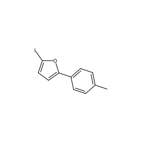 Cc1ccc(-c2ccc(I)o2)cc1